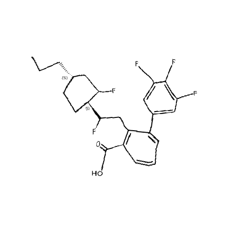 CCC[C@H]1CC[C@H](C(F)Cc2c(C(=O)O)cccc2-c2cc(F)c(F)c(F)c2)C(F)C1